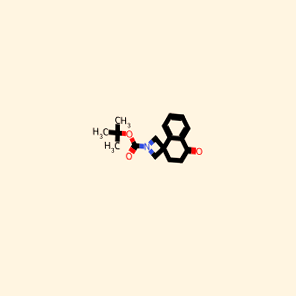 CC(C)(C)OC(=O)N1CC2(CCC(=O)c3ccccc32)C1